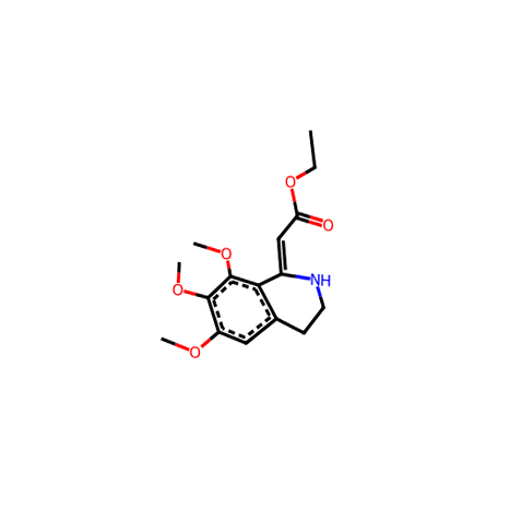 CCOC(=O)/C=C1\NCCc2cc(OC)c(OC)c(OC)c21